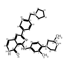 Cc1cc(Nc2nc(-c3ccc(CN4CCCC4)nc3)cc3cc[nH]c(=O)c23)ccc1N1CCO[C@H](C)C1